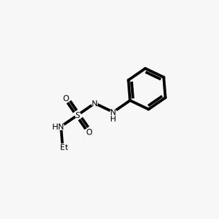 CCNS(=O)(=O)[N]Nc1ccccc1